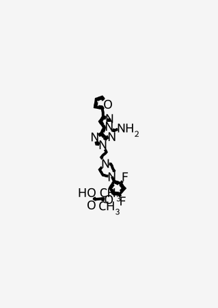 CC(C)(Oc1cc(N2CCN(CCn3cnc4c3nc(N)n3nc(-c5ccco5)cc43)CC2)c(F)cc1F)C(=O)O